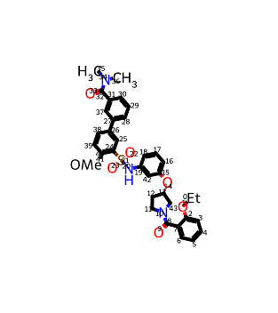 CCOc1ccccc1C(=O)N1CC[C@H](Oc2cccc(NS(=O)(=O)c3cc(-c4cccc(C(=O)N(C)C)c4)ccc3OC)c2)C1